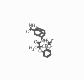 CC(C)(Oc1ccccc1OC(F)(F)F)C(=O)NC1C2CC3CC1CC(C(N)=O)(C3)C2